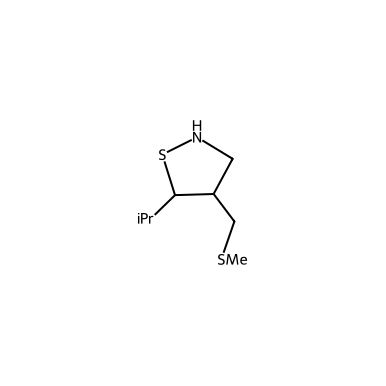 CSCC1CNSC1C(C)C